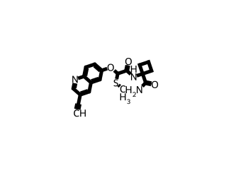 C#Cc1cnc2ccc(OC(SC)C(=O)NC3(C(N)=O)CCC3)cc2c1